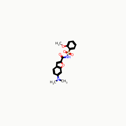 COc1ccccc1S(=O)(=O)NC(=O)c1cc2ccc(N(C)C)cc2o1